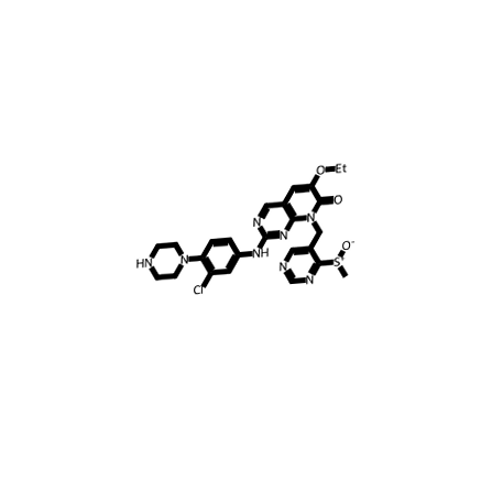 CCOc1cc2cnc(Nc3ccc(N4CCNCC4)c(Cl)c3)nc2n(Cc2cncnc2[S+](C)[O-])c1=O